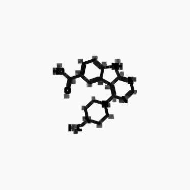 CN1CCN(c2ncnc3[nH]c4ccc(C(=O)O)cc4c23)CC1